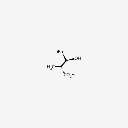 CC[C@H](C)[C@@H](O)[C@@H](C)C(=O)O